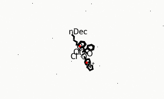 CCCCCCCCCCCCCCCOC(=O)OC(C(=O)OC1CC2CCC(C1)[N+]21CCCC1)(c1ccccc1)c1ccccc1.[Cl-]